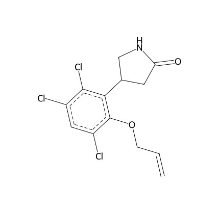 C=CCOc1c(Cl)cc(Cl)c(Cl)c1C1CNC(=O)C1